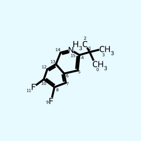 CC(C)(C)c1cc2cc(F)c(F)cc2cn1